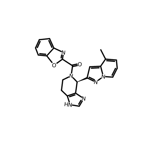 Cc1cccn2nc([C@H]3c4nc[nH]c4CCN3C(=O)c3nc4ccccc4o3)cc12